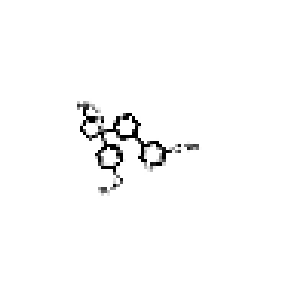 COc1cncc(-c2cccc(C3(c4ccc(OC(C)C)cc4)CCC(N)=N3)c2)c1